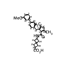 COc1cccc(-c2ccc(Cc3c(C)sc(C)c3C(=O)NC3CC4(C3)CC(C(=O)O)C4)cc2)c1